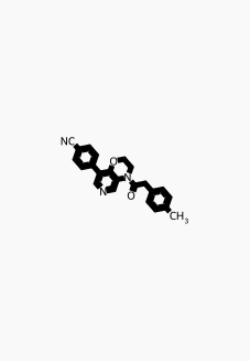 Cc1ccc(CC(=O)N2CCOc3c(-c4ccc(C#N)cc4)cncc32)cc1